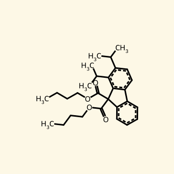 CCCCOC(=O)C1(C(=O)OCCCC)c2ccccc2-c2ccc(C(C)C)c(C(C)C)c21